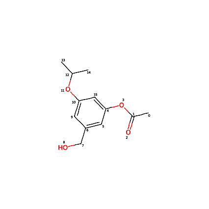 CC(=O)Oc1cc(CO)cc(OC(C)C)c1